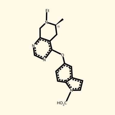 CCN1Cc2ncnc(Oc3ccc4c(ccn4C(=O)O)c3)c2C[C@@H]1C